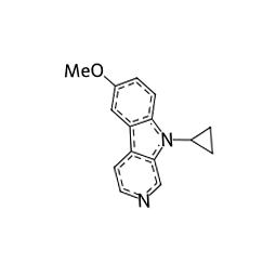 COc1ccc2c(c1)c1ccncc1n2C1CC1